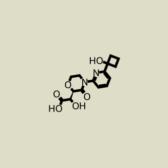 O=C(O)C(O)[C@H]1OCCN(c2cccc(C3(O)CCC3)n2)C1=O